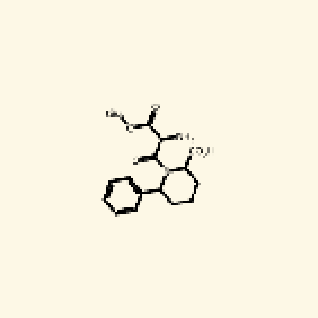 CC(C)(C)OC(=O)C(N)C(=O)N1C(C(=O)O)CCCC1c1ccccc1